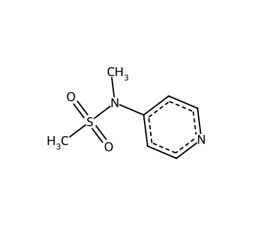 CN(c1ccncc1)S(C)(=O)=O